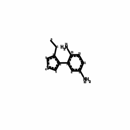 CCc1cscc1-c1cc(N)ccc1N